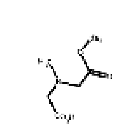 CN(CC(=O)O)CC(=O)OC(C)(C)C